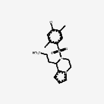 Cc1cc(S(=O)(=O)N2CCn3cccc3C2CCC(=O)O)c(C)cc1Cl